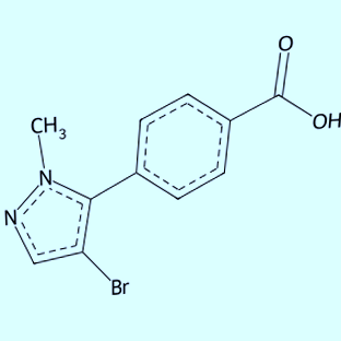 Cn1ncc(Br)c1-c1ccc(C(=O)O)cc1